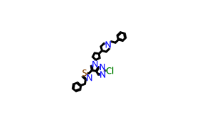 Clc1ncc2c(-c3nc(Cc4ccccc4)cs3)cn(C3CCC(C4CCN(CCc5ccccc5)CC4)C3)c2n1